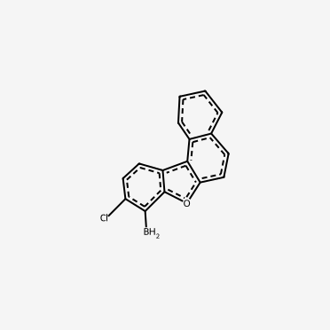 Bc1c(Cl)ccc2c1oc1ccc3ccccc3c12